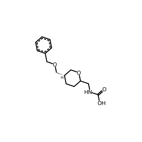 O=C(O)NCC1CC[C@H](COCc2ccccc2)CO1